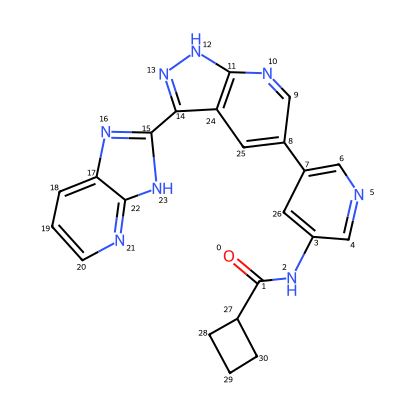 O=C(Nc1cncc(-c2cnc3[nH]nc(-c4nc5cccnc5[nH]4)c3c2)c1)C1CCC1